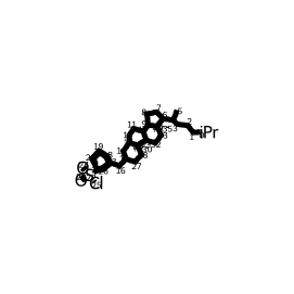 CC(C)CCCC(C)C1CCC2C3CCC4CC(Cc5cccc(S(=O)(=O)Cl)c5)CC[C@]4(C)C3CC[C@]12C